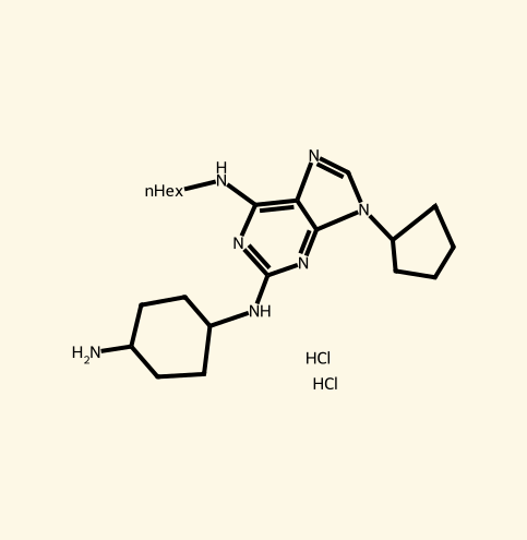 CCCCCCNc1nc(NC2CCC(N)CC2)nc2c1ncn2C1CCCC1.Cl.Cl